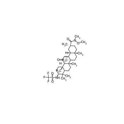 CON(C)C(=O)[C@@]1(C)CC[C@]2(C)CC[C@]3(C)C(=CC(=O)[C@@H]4[C@@]5(C)CC[C@H](NS(=O)(=O)C(F)(F)F)C(C)(C)C5CC[C@]43C)[C@@H]2C1